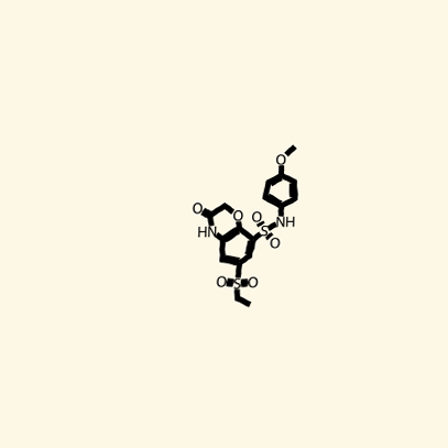 CCS(=O)(=O)c1cc2c(c(S(=O)(=O)Nc3ccc(OC)cc3)c1)OCC(=O)N2